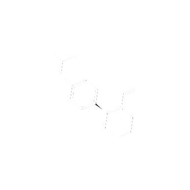 O=CN1CCOC[C@H]1c1ccc(OC(F)F)cc1